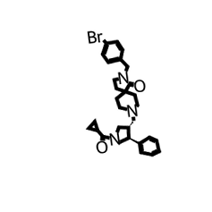 O=C(C1CC1)N1C[C@H](CN2CCC3(CC2)CCN(Cc2ccc(Br)cc2)C3=O)[C@@H](c2ccccc2)C1